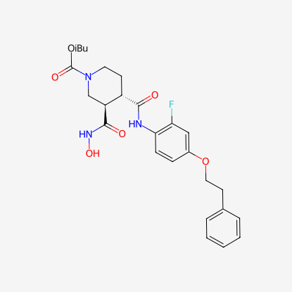 CC(C)COC(=O)N1CC[C@H](C(=O)Nc2ccc(OCCc3ccccc3)cc2F)[C@@H](C(=O)NO)C1